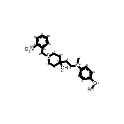 CC(C)Oc1ccc(N(C)CCC2(O)CCN(Cc3ccccc3[N+](=O)[O-])CC2)cc1